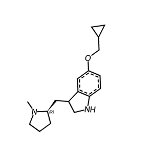 CN1CCC[C@@H]1CC1CNc2ccc(OCC3CC3)cc21